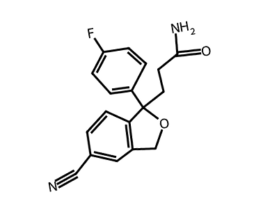 N#Cc1ccc2c(c1)COC2(CCC(N)=O)c1ccc(F)cc1